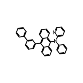 c1ccc(-c2cccc(-c3c4ccccc4c(N(c4ccccc4)c4ccccn4)c4ccccc34)c2)cc1